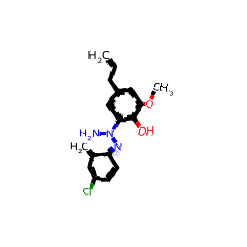 C=CCc1cc(OC)c(O)c(N(N)/N=C2/C=CC(Cl)=CC2=C)c1